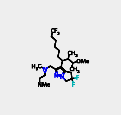 CNCCN(C)Cc1nn2c(c1C(CCCCCC(F)(F)F)C(C)C(C)OC)CC(F)(F)C2